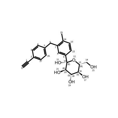 C#Cc1ccc(Cc2cc([C@@]3(O)O[C@H](CO)[C@@H](O)[C@H](O)[C@H]3O)ccc2C)cc1